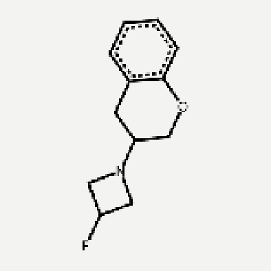 FC1CN(C2COc3ccccc3C2)C1